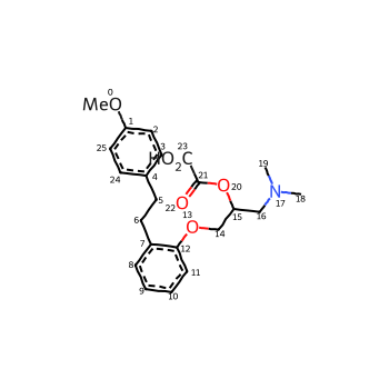 COc1ccc(CCc2ccccc2OCC(CN(C)C)OC(=O)C(=O)O)cc1